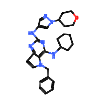 c1ccc(Cn2ccc3nc(Nc4cnn(C5CCOCC5)c4)nc(NC4CCCCC4)c32)cc1